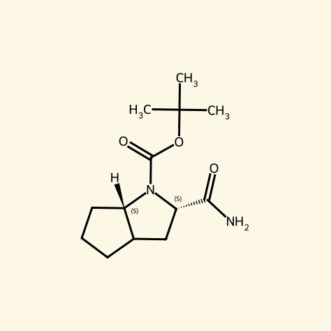 CC(C)(C)OC(=O)N1[C@H](C(N)=O)CC2CCC[C@@H]21